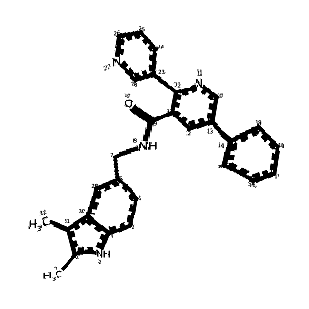 Cc1[nH]c2ccc(CNC(=O)c3cc(-c4ccccc4)cnc3-c3cccnc3)cc2c1C